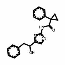 O=C(Nc1ncc(C(O)Cc2ccccc2)s1)C1(c2ccccc2)CC1